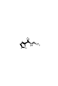 O=C(NCC(F)(F)F)c1c[c]cs1